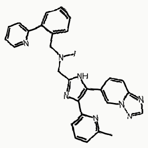 Cc1cccc(-c2nc(CN(I)Cc3ccccc3-c3ccccn3)[nH]c2-c2ccc3ncnn3c2)n1